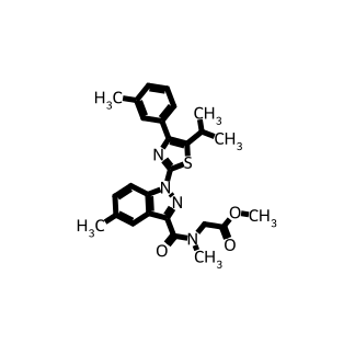 COC(=O)CN(C)C(=O)c1nn(-c2nc(-c3cccc(C)c3)c(C(C)C)s2)c2ccc(C)cc12